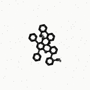 Cc1ccccc1-c1cccc2c1Oc1c(-c3ccccc3)cc(-c3ccccc3)c3c1P2(=O)c1cccc(-c2ccccc2C)c1O3